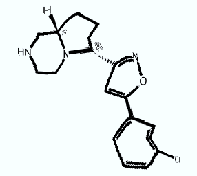 Clc1cccc(-c2cc([C@H]3CC[C@H]4CNCCN43)no2)c1